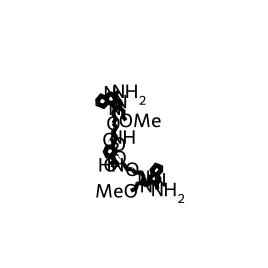 COCCc1nc2c(N)nc3ccccc3c2n1CCOCCNS(=O)(=O)c1cccc(S(=O)(=O)NCCOCCn2c(CCOC)nc3c(N)nc4ccccc4c32)c1